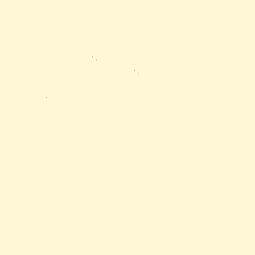 CCOC(=O)c1ccc(-c2nc(CCCOC)cnc2OS(=O)C(F)(F)F)cc1